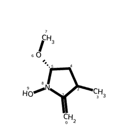 C=C1C(C)C[C@@H](OC)N1O